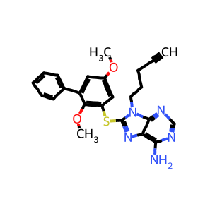 C#CCCCn1c(Sc2cc(OC)cc(-c3ccccc3)c2OC)nc2c(N)ncnc21